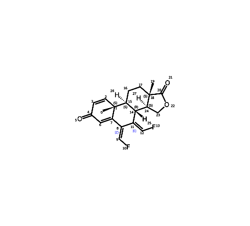 C[C@]12C=CC(=O)C=C1C(=C/F)/C(=C/F)[C@@H]1[C@@H]2CC[C@]2(C)C(=O)OC[C@@H]12